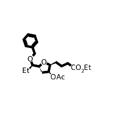 CCOC(=O)CCC[C@@H]1O[C@@H]([C@@H](CC)OCc2ccccc2)C[C@H]1OC(C)=O